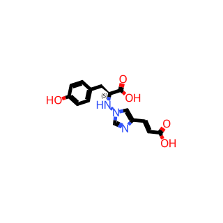 O=C(O)C=Cc1cn(N[C@@H](Cc2ccc(O)cc2)C(=O)O)cn1